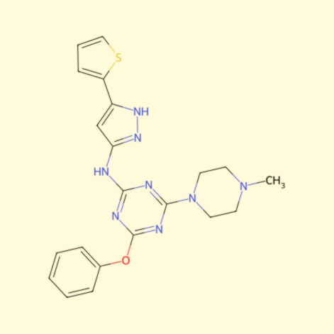 CN1CCN(c2nc(Nc3cc(-c4cccs4)[nH]n3)nc(Oc3ccccc3)n2)CC1